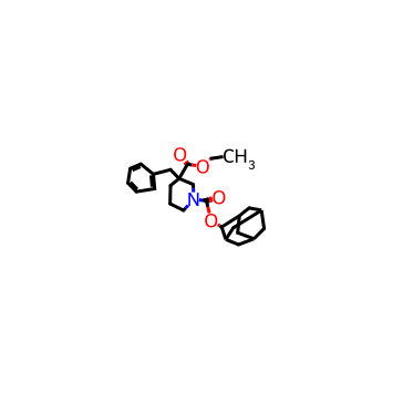 CCOC(=O)C1(Cc2ccccc2)CCCN(C(=O)OC2C3CC4CC(C3)CC2C4)C1